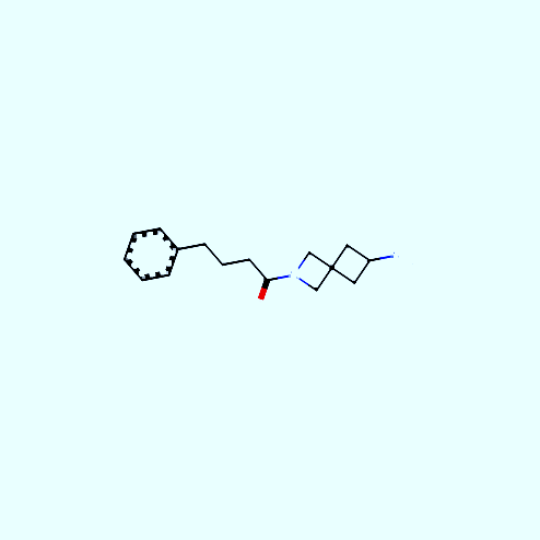 NC1CC2(C1)CN(C(=O)CCCc1ccccc1)C2